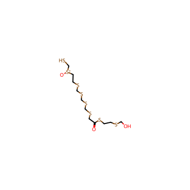 O=C(CSCSCSCSCC[S+]([O-])CS)SCCSCO